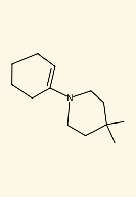 CC1(C)CCN(C2=CCCCC2)CC1